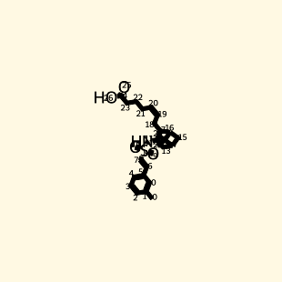 Cc1cccc(C=CS(=O)(=O)NC2CC3CC(C2C/C=C\CCCC(=O)O)C3(C)C)c1